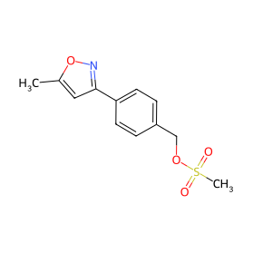 Cc1cc(-c2ccc(COS(C)(=O)=O)cc2)no1